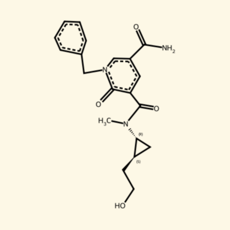 CN(C(=O)c1cc(C(N)=O)cn(Cc2ccccc2)c1=O)[C@@H]1C[C@H]1CCO